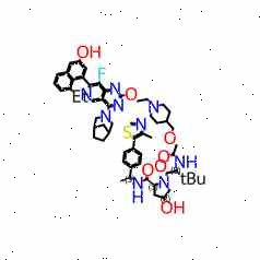 CCc1cccc2cc(O)cc(-c3ncc4c(N5CC6CCC(C6)C5)nc(OCCN5CCC(COCC(=O)N[C@H](C(=O)N6C[C@H](O)C[C@H]6C(=O)N[C@@H](C)c6ccc(-c7scnc7C)cc6)C(C)(C)C)CC5)nc4c3F)c12